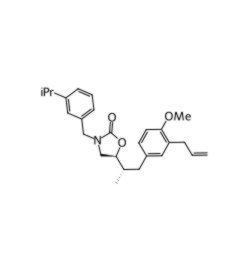 C=CCc1cc(C[C@H](C)[C@H]2CN(Cc3cccc(C(C)C)c3)C(=O)O2)ccc1OC